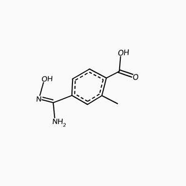 Cc1cc(/C(N)=N\O)ccc1C(=O)O